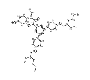 CCCCC(CC)COc1ccc(-c2nc(-c3ccc(OCC(CC)CCCC)cc3)nc(C(Oc3cccc(O)c3)C(=O)OCC)n2)cc1